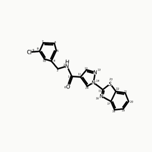 O=C(NCc1cccc(Cl)c1)c1cnn(-c2nc3ccccc3s2)c1